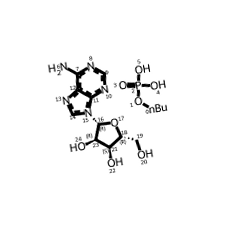 CCCCOP(=O)(O)O.Nc1ncnc2c1ncn2[C@@H]1O[C@H](CO)[C@@H](O)[C@H]1O